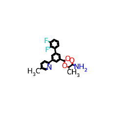 Cc1ccc(-c2cc(C(=O)O[C@@H](C)C(N)=O)cc(-c3cccc(F)c3F)c2)nc1